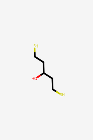 OC(CCS)CCS